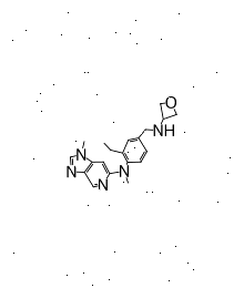 CCc1cc(CNC2COC2)ccc1N(C)c1cc2c(cn1)ncn2C